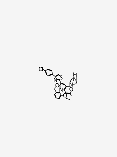 CCOc1cccc(CC)c1-n1c(C=C(C)C)c(C(=O)N2CCNCC2)cc(-c2nc(-c3ccc(Cl)cc3)cs2)c1=O